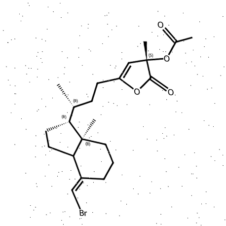 CC(=O)O[C@@]1(C)C=C(CC[C@@H](C)[C@H]2CCC3C(=CBr)CCC[C@@]32C)OC1=O